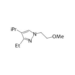 CCc1nn(CCOC)cc1C(C)C